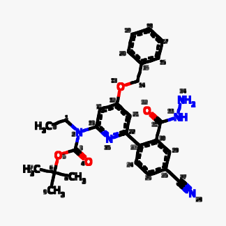 CCN(C(=O)OC(C)(C)C)c1cc(OCc2ccccc2)cc(-c2ccc(C#N)cc2C(=O)NN)n1